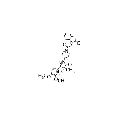 COc1ccc(C2=NN(C3CCN(C(=O)CN4C(=O)Cc5ccccc54)CC3)C(=O)C2(C)C)cc1OC